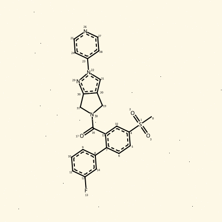 CS(=O)(=O)c1ccc(-c2cccc(F)c2)c(C(=O)N2Cc3cn(-c4ccncc4)nc3C2)c1